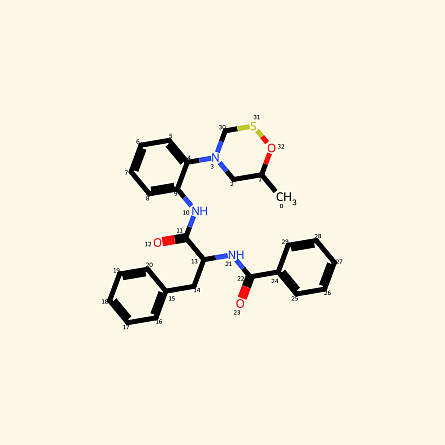 CC1CN(c2ccccc2NC(=O)C(Cc2ccccc2)NC(=O)c2ccccc2)CSO1